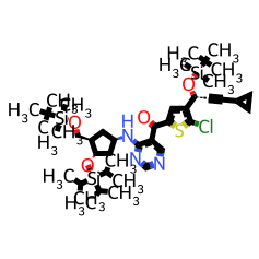 CC(C)[Si](O[C@H]1C[C@H](Nc2ncncc2C(=O)c2cc([C@@H](C#CC3CC3)O[Si](C)(C)C(C)(C)C)c(Cl)s2)C[C@@H]1CO[Si](C)(C)C(C)(C)C)(C(C)C)C(C)C